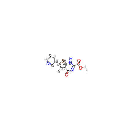 CCOC(=O)c1nc(=O)c2c(C)c(-c3cccnc3)sc2[nH]1